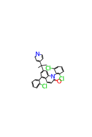 CC(C)(c1ccncc1)c1cc(-c2ccccc2Cl)c2ccc(=O)n(-c3c(Cl)cccc3Cl)c2c1